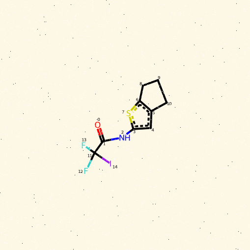 O=C(Nc1cc2c(s1)CCC2)C(F)(F)I